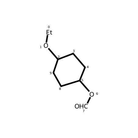 CCOC1CCC(OC=O)CC1